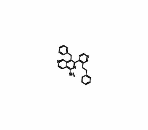 Nc1nc(-c2ccncc2CCc2ccccc2)c(Cc2ccccc2)c2cnccc12